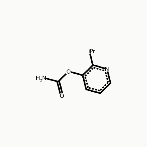 CC(C)c1ncccc1OC(N)=O